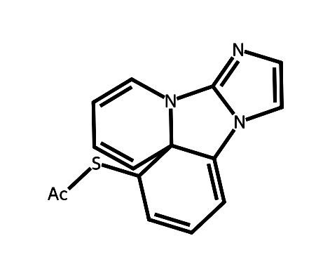 CC(=O)SC1C=CC=C2n3ccnc3N3C=CC=CC213